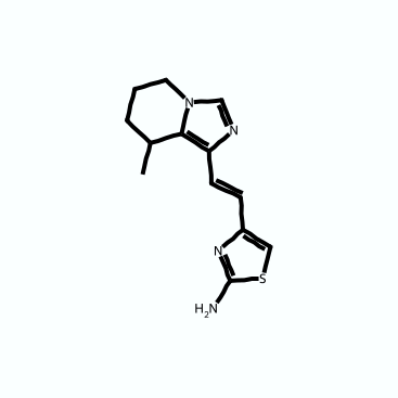 CC1CCCn2cnc(/C=C/c3csc(N)n3)c21